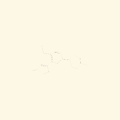 CC1CCC(c2ccc(CN)c(-c3ccn(C)n3)c2)CC1